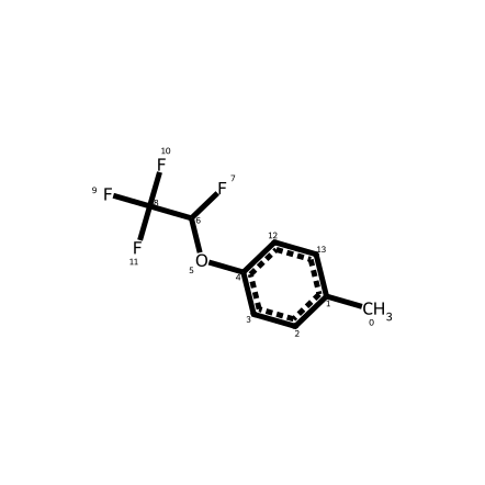 Cc1ccc(OC(F)C(F)(F)F)cc1